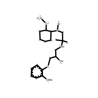 COc1ccccc1OCC(O)CNC(C)(C)CN(C(C)=O)C1CCCCC1O[N+](=O)[O-]